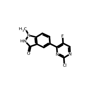 Cn1[nH]c(=O)c2cc(-c3nc(Cl)ncc3F)ccc21